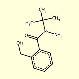 CC(C)(C)N(N)C(=O)c1ccccc1CO